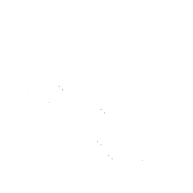 CCCCn1nc(C(C)(C)C)s/c1=N\C(=O)c1ccc(C(F)(F)F)cc1ONC(C)(C)C